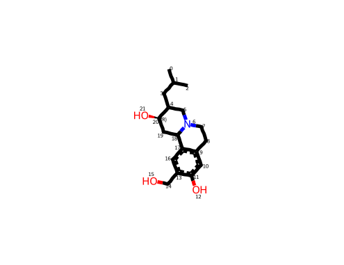 CC(C)CC1CN2CCc3cc(O)c(CO)cc3C2C[C@H]1O